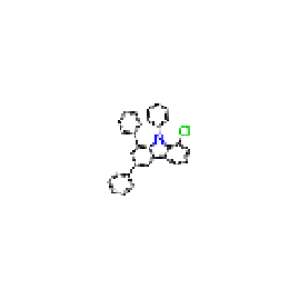 Clc1cccc2c3cc(-c4ccccc4)cc(-c4ccccc4)c3n(-c3ccccc3)c12